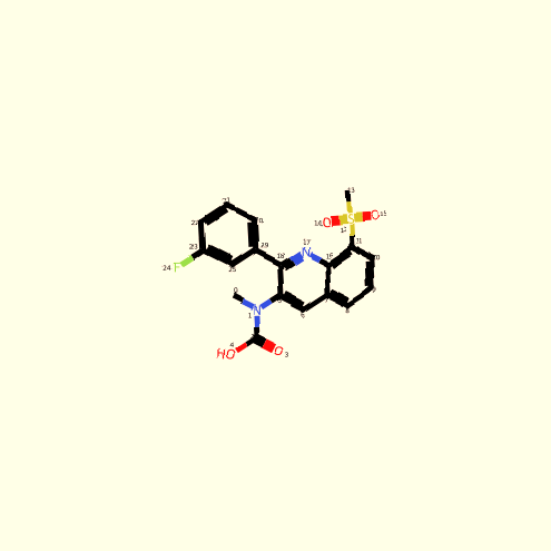 CN(C(=O)O)c1cc2cccc(S(C)(=O)=O)c2nc1-c1cccc(F)c1